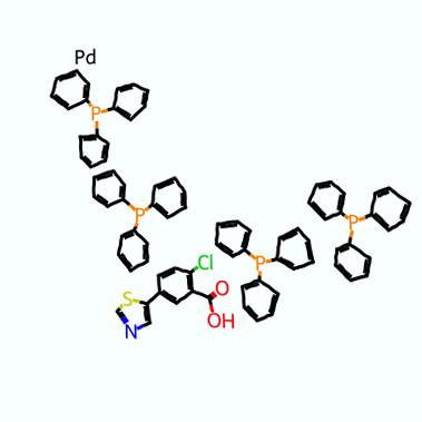 O=C(O)c1cc(-c2cncs2)ccc1Cl.[Pd].c1ccc(P(c2ccccc2)c2ccccc2)cc1.c1ccc(P(c2ccccc2)c2ccccc2)cc1.c1ccc(P(c2ccccc2)c2ccccc2)cc1.c1ccc(P(c2ccccc2)c2ccccc2)cc1